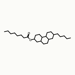 CCCCCCCC(=O)OC1CCC2C(CCC3CC(CCCCC)CCC32)C1